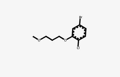 COCCCOc1cc(Br)ccc1Cl